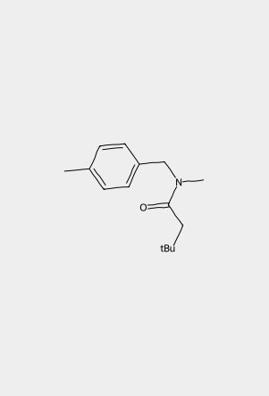 Cc1ccc(CN(C)C(=O)CC(C)(C)C)cc1